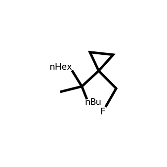 CCCCCCC(C)(CCCC)C1(CF)CC1